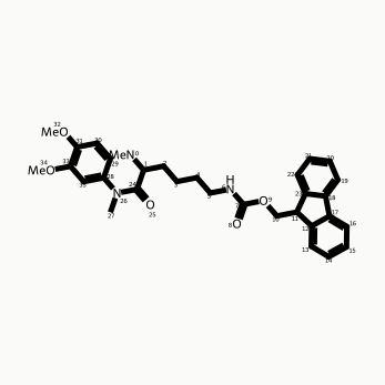 CNC(CCCCNC(=O)OCC1c2ccccc2-c2ccccc21)C(=O)N(C)c1ccc(OC)c(OC)c1